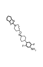 Nc1cc(F)c(C2CCC(=NOC3CCN(c4nc5ccccc5s4)CC3)CC2)cc1F